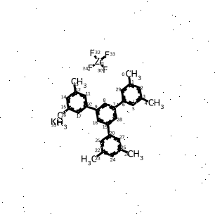 Cc1cc(C)cc(-c2cc(-c3cc(C)cc(C)c3)cc(-c3cc(C)cc(C)c3)c2)c1.[F][Zr]([F])([F])[F].[KH]